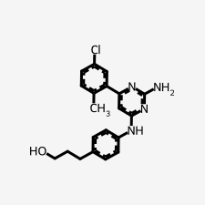 Cc1ccc(Cl)cc1-c1cc(Nc2ccc(CCCO)cc2)nc(N)n1